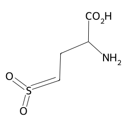 NC(CC=S(=O)=O)C(=O)O